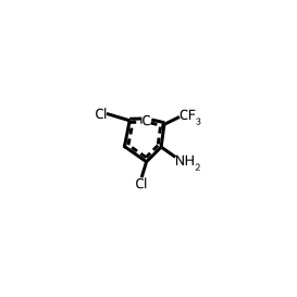 Nc1c(Cl)cc(Cl)cc1C(F)(F)F